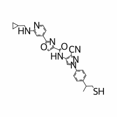 CC(CS)c1ccc(-n2cc(NC(=O)c3coc(-c4ccnc(NCC5CC5)c4)n3)c(C#N)n2)cc1